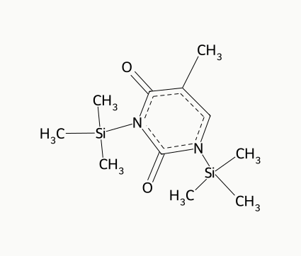 Cc1cn([Si](C)(C)C)c(=O)n([Si](C)(C)C)c1=O